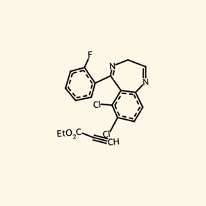 C#CC(=O)OCC.Fc1ccccc1C1=NCC=Nc2ccc(Cl)c(Cl)c21